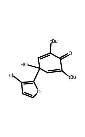 CC(C)(C)C1=CC(O)(c2occc2Cl)C=C(C(C)(C)C)C1=O